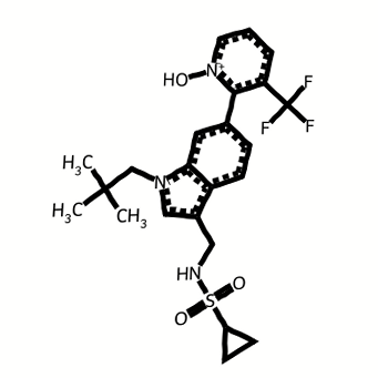 CC(C)(C)Cn1cc(CNS(=O)(=O)C2CC2)c2ccc(-c3c(C(F)(F)F)ccc[n+]3O)cc21